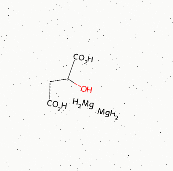 O=C(O)CC(O)C(=O)O.[MgH2].[MgH2]